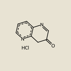 Cl.O=C1C=Nc2cccnc2C1